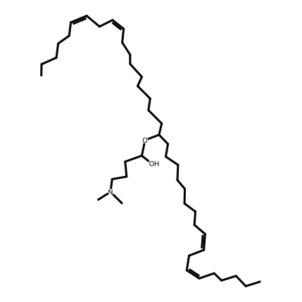 CCCCC/C=C\C/C=C\CCCCCCCCC(CCCCCCCC/C=C\C/C=C\CCCCC)OC(O)CCCN(C)C